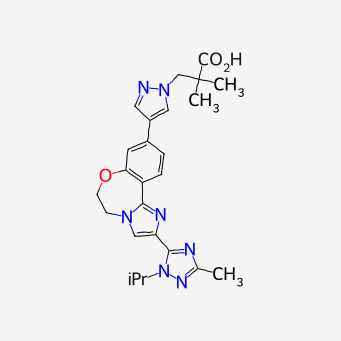 Cc1nc(-c2cn3c(n2)-c2ccc(-c4cnn(CC(C)(C)C(=O)O)c4)cc2OCC3)n(C(C)C)n1